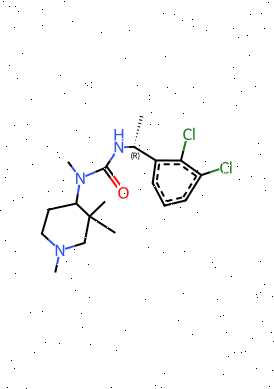 C[C@@H](NC(=O)N(C)C1CCN(C)CC1(C)C)c1cccc(Cl)c1Cl